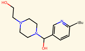 CC(C)(C)c1ccc(C(O)N2CCN(CCO)CC2)cn1